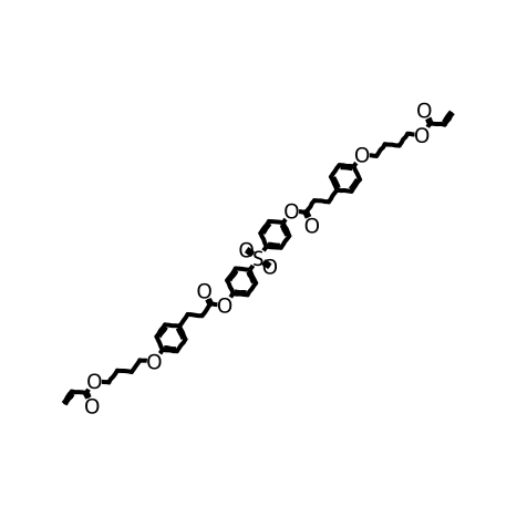 C=CC(=O)OCCCCOc1ccc(CCC(=O)Oc2ccc(S(=O)(=O)c3ccc(OC(=O)CCc4ccc(OCCCCOC(=O)C=C)cc4)cc3)cc2)cc1